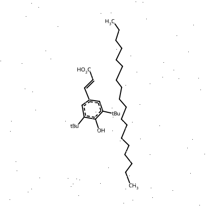 CC(C)(C)c1cc(C=CC(=O)O)cc(C(C)(C)C)c1O.CCCCCCCCCCCCCCCCCC